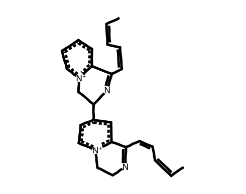 C/C=C\C=C/C1=NCC[n+]2ccc(C3C[n+]4ccccc4C(/C=C\C=C/C)=N3)cc21